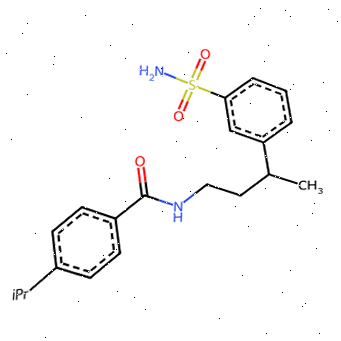 CC(C)c1ccc(C(=O)NCCC(C)c2cccc(S(N)(=O)=O)c2)cc1